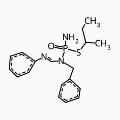 CCC(C)SP(N)(=O)N(C=Nc1ccccc1)Cc1ccccc1